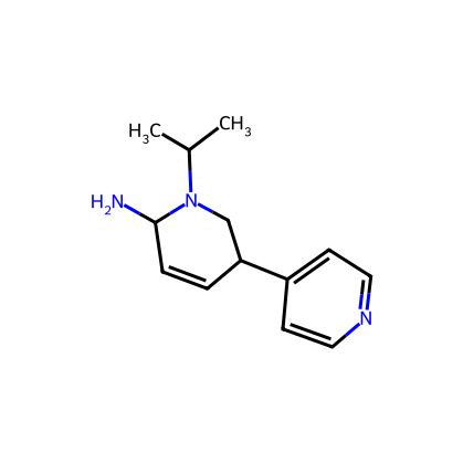 CC(C)N1CC(c2ccncc2)C=CC1N